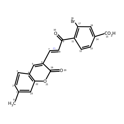 Cc1ccc2cc(/C=C/C(=O)c3ccc(C(=O)O)cc3Br)c(=O)oc2c1